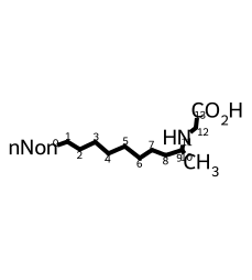 CCCCCCCCCCCCCCCCCC(C)NCC(=O)O